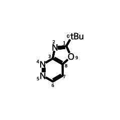 CC(C)(C)c1nc2nnccc2o1